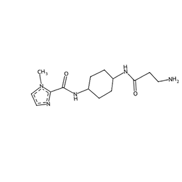 Cn1ccnc1C(=O)NC1CCC(NC(=O)CCN)CC1